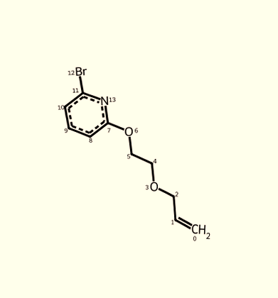 C=CCOCCOc1cccc(Br)n1